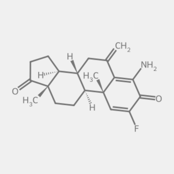 C=C1C[C@@H]2[C@H](CC[C@]3(C)C(=O)CC[C@@H]23)[C@@]2(C)C=C(F)C(=O)C(N)=C12